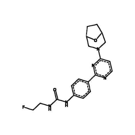 O=C(NCCF)Nc1ccc(-c2nccc(N3CC4CCC(C3)O4)n2)cc1